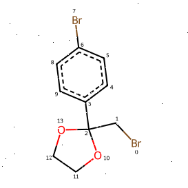 BrCC1(c2ccc(Br)cc2)OCCO1